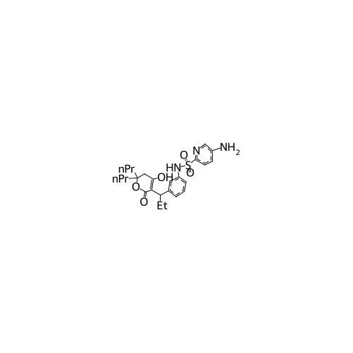 CCCC1(CCC)CC(O)=C(C(CC)c2cccc(NS(=O)(=O)c3ccc(N)cn3)c2)C(=O)O1